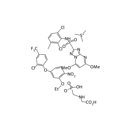 CCOc1cc(Oc2ccc(C(F)(F)F)cc2Cl)ccc1[N+](=O)[O-].COc1cc(OC)n2nc(S(=O)(=O)Nc3c(Cl)ccc(C)c3Cl)nc2n1.C[S+](C)C.O=C(O)CNCP(=O)([O-])O